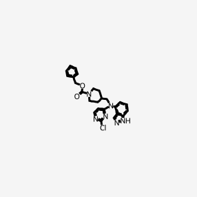 O=C(OCc1ccccc1)N1CCC(CN(c2ccnc(Cl)n2)c2cccc3[nH]ncc23)CC1